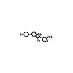 CC(C)c1c(-c2ccnc(N)c2)[nH]c2ccc(C3CCNCC3)cc12